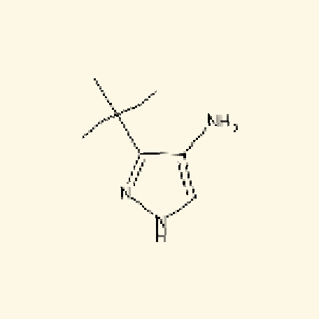 CC(C)(C)c1n[nH]cc1N